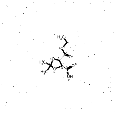 CCOC(=O)[C@H]1OC(C)(C)O[C@H]1C(=O)O